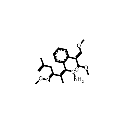 C=C(C)CC(=N\OC)/C(C)=C(/ON)c1ccccc1/C(=C\OC)C(=O)OC